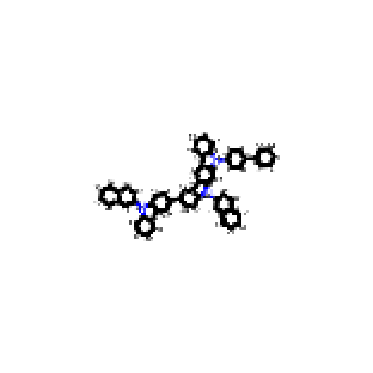 c1ccc(-c2ccc(-n3c4ccccc4c4cc5c6cc(-c7ccc8c(c7)c7ccccc7n8-c7ccc8ccccc8c7)ccc6n(-c6ccc7ccccc7c6)c5cc43)cc2)cc1